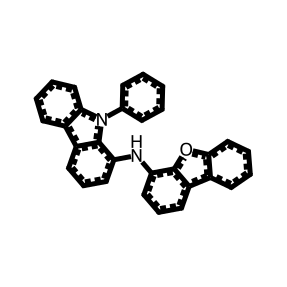 c1ccc(-n2c3ccccc3c3cccc(Nc4cccc5c4oc4ccccc45)c32)cc1